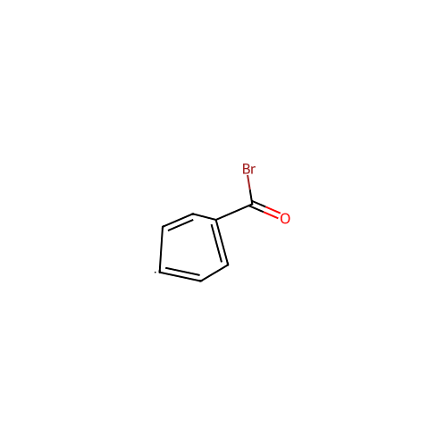 O=C(Br)c1cc[c]cc1